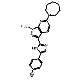 Cn1nc(-c2ncc(-c3ccc(Br)cc3)[nH]2)c2ccc(N3CCCCCC3)nc21